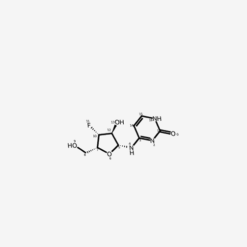 O=c1nc(N[C@@H]2O[C@H](CO)[C@H](F)[C@H]2O)cc[nH]1